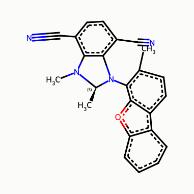 Cc1ccc2c(oc3ccccc32)c1N1c2c(C#N)ccc(C#N)c2N(C)[C@@H]1C